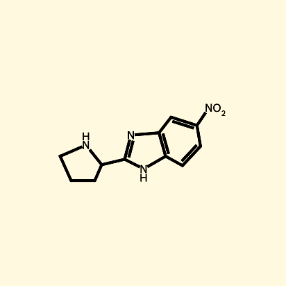 O=[N+]([O-])c1ccc2[nH]c(C3CCCN3)nc2c1